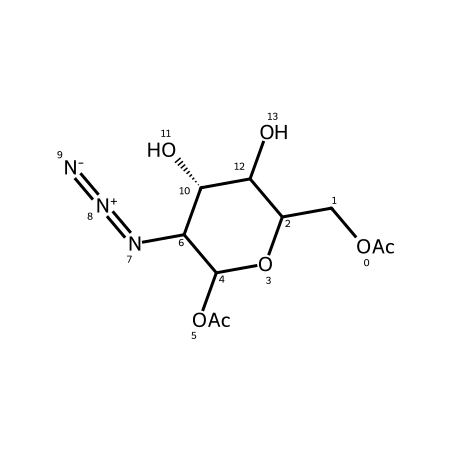 CC(=O)OCC1OC(OC(C)=O)C(N=[N+]=[N-])[C@H](O)C1O